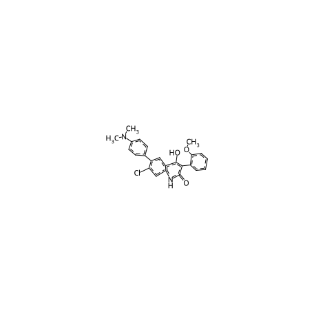 COc1ccccc1-c1c(O)c2cc(-c3ccc(N(C)C)cc3)c(Cl)cc2[nH]c1=O